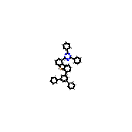 c1ccc(-c2cc(-c3ccccc3)cc(-c3cccc4c3sc3cccc(-c5nc(-c6ccccc6)nc(-c6ccccc6)n5)c34)c2)cc1